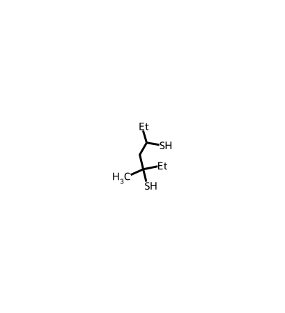 CCC(S)CC(C)(S)CC